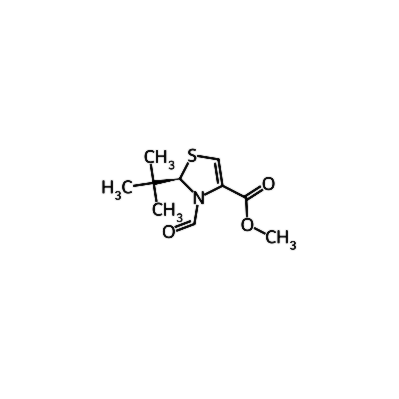 COC(=O)C1=CS[C@H](C(C)(C)C)N1C=O